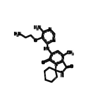 Cc1cc(Nc2ncnc(N)c2OCCN)c(=O)n2c1C(=O)NC21CCCCC1